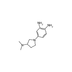 CN(C)C1CCN(c2ccc(N)c(N)c2)C1